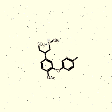 CC(=O)Oc1ccc(C(CNC(C)(C)C)CS(=O)(=O)O)cc1Oc1ccc(C)cc1